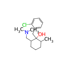 CC1CCCC(CN(C)C)C1(O)Cc1ccccc1Cl